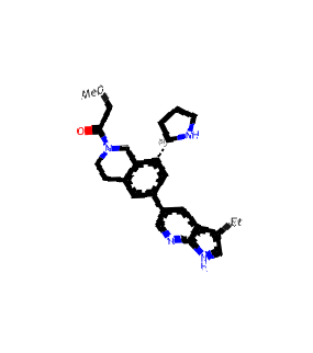 CCc1c[nH]c2ncc(-c3cc4c(c([C@@H]5CCCN5)c3)CN(C(=O)COC)CC4)cc12